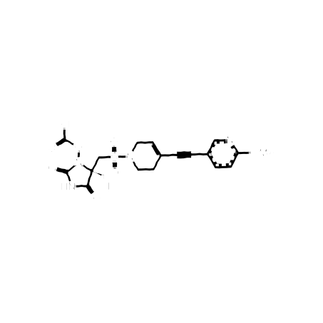 COc1ccc(C#CC2=CCN(S(=O)(=O)C[C@]3(C)C(=O)NC(=O)N3OC(=O)C(F)(F)F)CC2)cn1